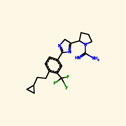 N=C(N)N1CCCC1C1=NC(c2ccc(CCC3CC3)c(C(F)(F)F)c2)=NC1